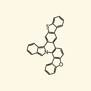 c1ccc2c(c1)cn1c2c2cc3sc4ccccc4c3cc2c2ccc3oc4ccccc4c3c21